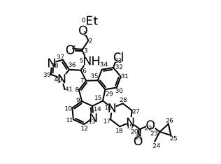 CCOCC(=O)NC(C1=Cc2cccnc2C(N2CCN(C(=O)OC3(C)CC3)CC2)c2ccc(Cl)cc21)c1cncn1C